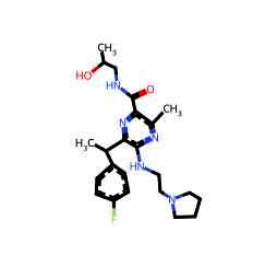 Cc1nc(NCCN2CCCC2)c(C(C)c2ccc(F)cc2)nc1C(=O)NCC(C)O